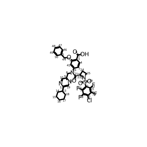 O=C(O)c1ccc(N(Cc2cnc(C3CCCCC3)cn2)C(=O)[C@H]2CCN2S(=O)(=O)c2c(F)c(F)c(Cl)c(F)c2F)cc1OCc1ccccc1